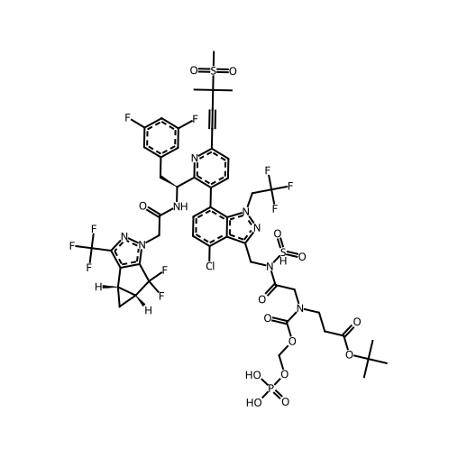 CC(C)(C)OC(=O)CCN(CC(=O)N(Cc1nn(CC(F)(F)F)c2c(-c3ccc(C#CC(C)(C)S(C)(=O)=O)nc3[C@H](Cc3cc(F)cc(F)c3)NC(=O)Cn3nc(C(F)(F)F)c4c3C(F)(F)[C@@H]3C[C@H]43)ccc(Cl)c12)[SH](=O)=O)C(=O)OCOP(=O)(O)O